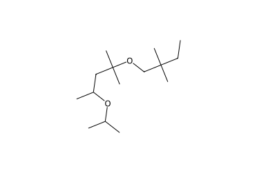 CCC(C)(C)COC(C)(C)CC(C)OC(C)C